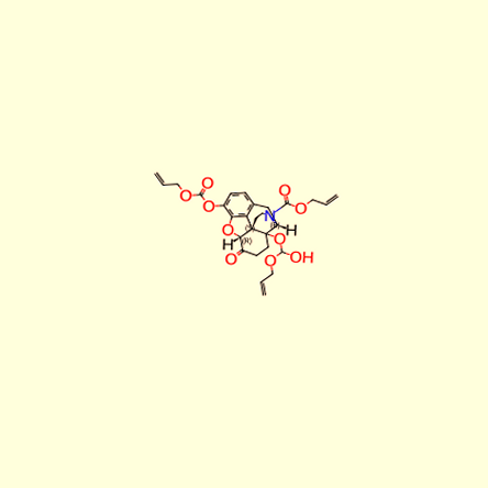 C=CCOC(=O)Oc1ccc2c3c1O[C@H]1C(=O)CCC4(OC(O)OCC=C)[C@@H](C2)N(C(=O)OCC=C)CC[C@]314